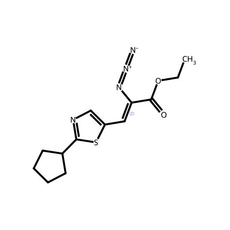 CCOC(=O)/C(=C/c1cnc(C2CCCC2)s1)N=[N+]=[N-]